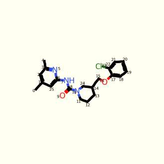 Cc1cc(C)nc(NC(=O)N2CCCC(COc3ccccc3Cl)C2)c1